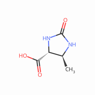 C[C@@H]1NC(=O)N[C@H]1C(=O)O